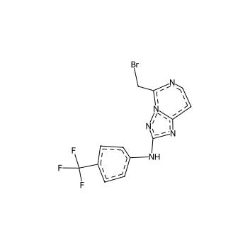 FC(F)(F)c1ccc(Nc2nc3ccnc(CBr)n3n2)cc1